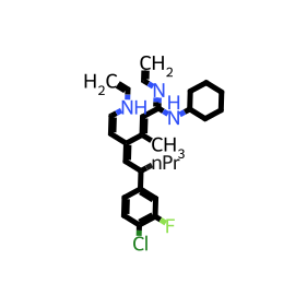 C=C/N=C(\C=C(/C)C(=CC(CCC)c1ccc(Cl)c(F)c1)/C=C\NC=C)NC1CCCCC1